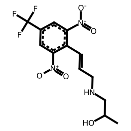 CC(O)CNCC=Cc1c([N+](=O)[O-])cc(C(F)(F)F)cc1[N+](=O)[O-]